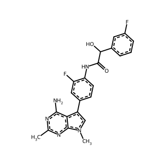 Cc1nc(N)c2c(-c3ccc(NC(=O)C(O)c4cccc(F)c4)c(F)c3)cn(C)c2n1